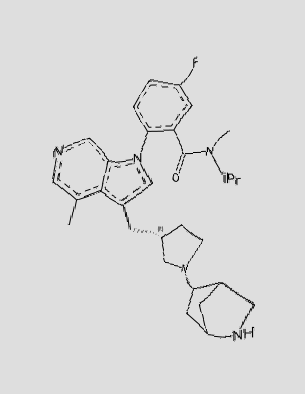 Cc1cncc2c1c(C[C@@H]1CCN(C3CC4CC3CN4)C1)cn2-c1ccc(F)cc1C(=O)N(C)C(C)C